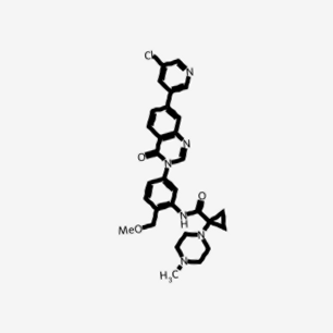 COCc1ccc(-n2cnc3cc(-c4cncc(Cl)c4)ccc3c2=O)cc1NC(=O)C1(N2CCN(C)CC2)CC1